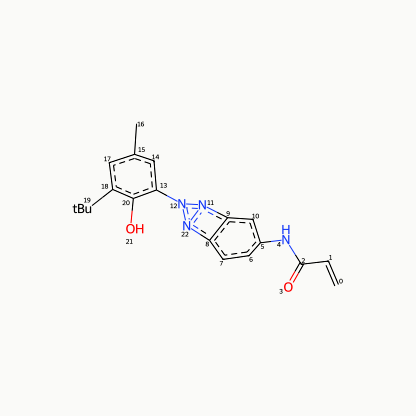 C=CC(=O)Nc1ccc2c(c1)n1n(-c3cc(C)cc(C(C)(C)C)c3O)n21